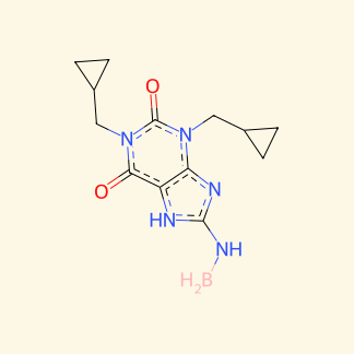 BNc1nc2c([nH]1)c(=O)n(CC1CC1)c(=O)n2CC1CC1